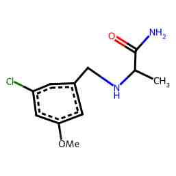 COc1cc(Cl)cc(CNC(C)C(N)=O)c1